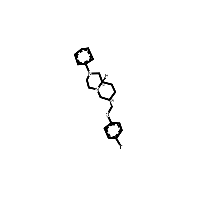 Fc1ccc(OC[C@@H]2CC[C@H]3CN(c4ccccc4)CCN3C2)cc1